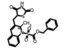 C[C@@H]1C(CC2SC(=O)NC2=O)=Cc2ccccc2N1S(=O)(=O)C(=O)OCc1ccccc1